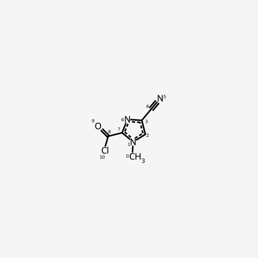 Cn1cc(C#N)nc1C(=O)Cl